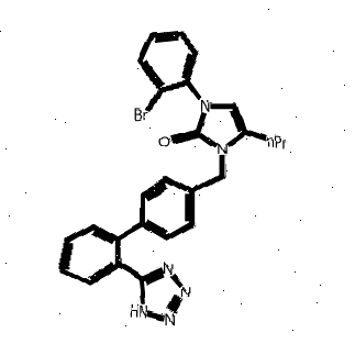 CCCc1cn(-c2ccccc2Br)c(=O)n1Cc1ccc(-c2ccccc2-c2nnn[nH]2)cc1